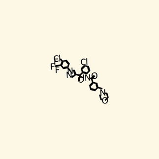 O=C(Nc1ccc(Cl)cc1C(=O)c1cnn(-c2ccc(Cl)c(C(F)(F)F)c2)c1)c1cccc(CN2CCOCC2)c1